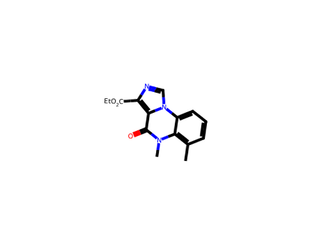 CCOC(=O)c1ncn2c1c(=O)n(C)c1c(C)cccc12